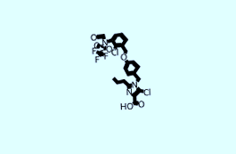 CCCc1nc(C(=O)O)c(Cl)n1Cc1ccc(OCc2cccc(N(C=O)S(=O)(=O)C(F)(F)F)c2Cl)cc1